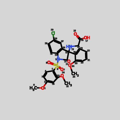 COc1ccc(S(=O)(=O)N2C(=O)C(NCC(=O)O)(c3ccccc3OC)c3cc(Cl)ccc32)c(OC)c1